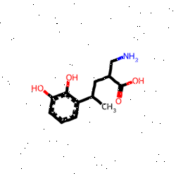 CC(CC(CN)C(=O)O)c1cccc(O)c1O